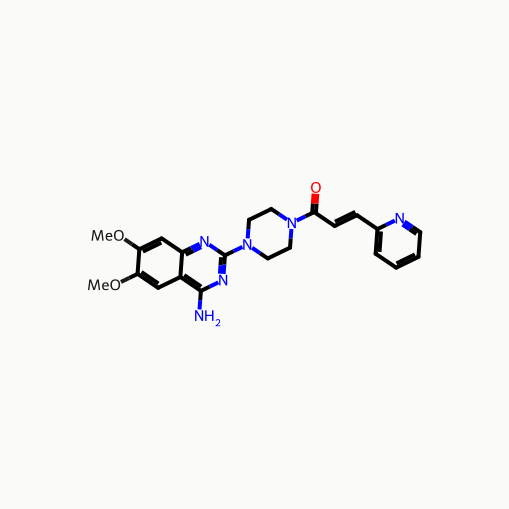 COc1cc2nc(N3CCN(C(=O)C=Cc4ccccn4)CC3)nc(N)c2cc1OC